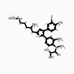 CCCC(O)C(CC)N(N)c1ccc(-c2sc(CC(N)CCCNC=O)cc2-c2ccc(C#N)c(F)c2)cc1N